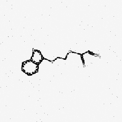 C=CC(=O)OCCSc1coc2ccccc12